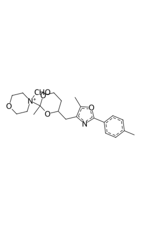 Cc1ccc(-c2nc(CC3CCOC(C)([N+]4(C=O)CCOCC4)O3)c(C)o2)cc1